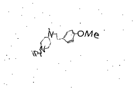 COc1ccc(CCN(C)C2CCN(C(C)C)CC2)cc1